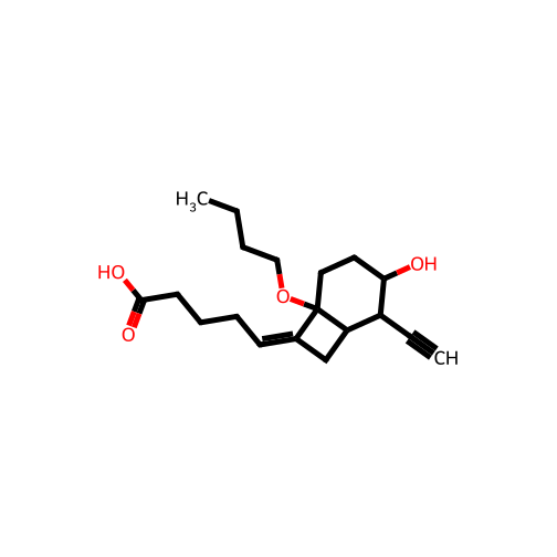 C#CC1C(O)CCC2(OCCCC)C(=CCCCC(=O)O)CC12